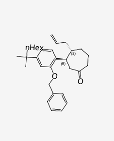 C=CC[C@@H]1CCCC(=O)C[C@H]1c1ccc(C(C)(C)CCCCCC)cc1OCc1ccccc1